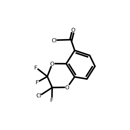 O=C(Cl)c1cccc2c1OC(F)(F)C(F)(Cl)O2